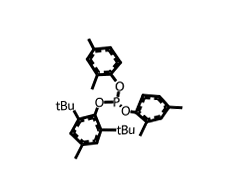 Cc1ccc(OP(Oc2ccc(C)cc2C)Oc2c(C(C)(C)C)cc(C)cc2C(C)(C)C)c(C)c1